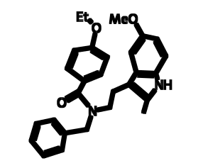 CCOc1ccc(C(=O)N(CCc2c(C)[nH]c3ccc(OC)cc23)Cc2ccccc2)cc1